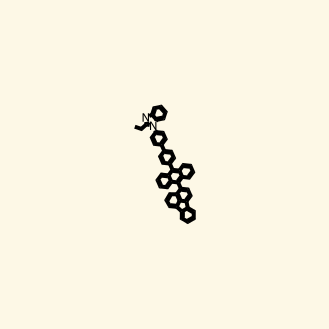 CCc1nc2ccccc2n1-c1ccc(-c2ccc(-c3c4ccccc4c(-c4ccc5c6c(cccc46)-c4ccccc4-5)c4ccccc34)cc2)cc1